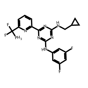 Fc1cc(F)cc(Nc2nc(NCC3CC3)nc(-c3cccc(C(F)(F)P)n3)n2)c1